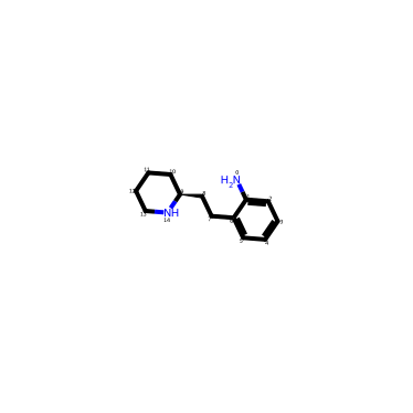 Nc1ccccc1CC[C@@H]1CCCCN1